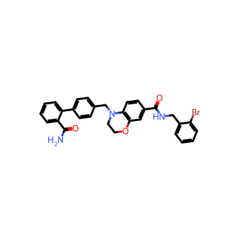 NC(=O)c1ccccc1-c1ccc(CN2CCOc3cc(C(=O)NCc4ccccc4Br)ccc32)cc1